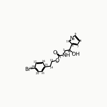 O=C(NC[C@H](O)c1cccnc1)OCCc1ccc(Br)cc1